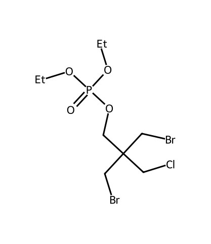 CCOP(=O)(OCC)OCC(CCl)(CBr)CBr